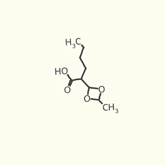 CCCCC(C(=O)O)C1OC(C)O1